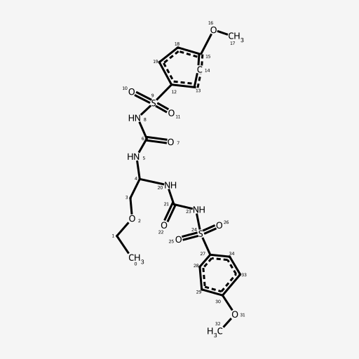 CCOCC(NC(=O)NS(=O)(=O)c1ccc(OC)cc1)NC(=O)NS(=O)(=O)c1ccc(OC)cc1